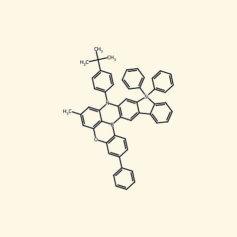 Cc1cc2c3c(c1)N(c1ccc(C(C)(C)C)cc1)c1cc4c(cc1B3c1ccc(-c3ccccc3)cc1O2)-c1ccccc1[Si]4(c1ccccc1)c1ccccc1